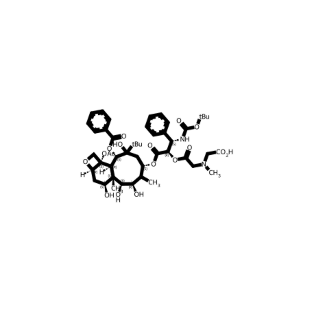 CC(=O)O[C@@]12CO[C@@H]1C[C@H](O)[C@@]1(C)[C@H](O)[C@H](O)C(C)[C@@H](OC(=O)[C@H](OC(=O)CN(C)CC(=O)O)[C@@H](NC(=O)OC(C)(C)C)c3ccccc3)CC(O)(C(C)(C)C)[C@@H](OC(=O)c3ccccc3)[C@H]21